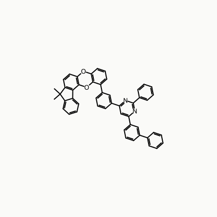 CC1(C)c2ccccc2-c2c1ccc1c2Oc2c(cccc2-c2cccc(-c3cc(-c4cccc(-c5ccccc5)c4)nc(-c4ccccc4)n3)c2)O1